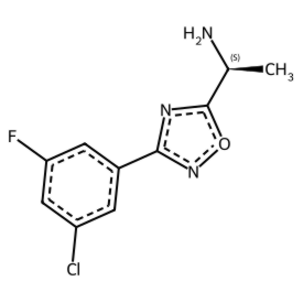 C[C@H](N)c1nc(-c2cc(F)cc(Cl)c2)no1